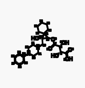 O=C(O)[C@H](O)[C@@H](O)C(=O)OC1C2(CCCCC2)[C@]1(O)CN1CCN(c2ccccc2)CC1